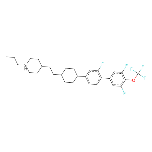 CCC[SiH]1CCC(CCC2CCC(c3ccc(-c4cc(F)c(OC(F)(F)F)c(F)c4)c(F)c3)CC2)CC1